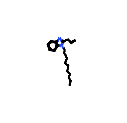 C=CCc1nc2ccccc2n1CCCCCCCCCC